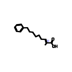 C/C(=C\CCCCCCc1ccccc1)C(=O)O